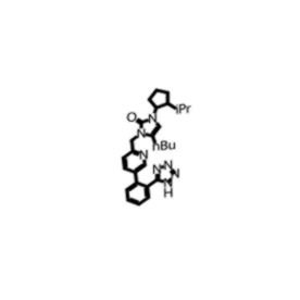 CCCCc1cn(C2CCCC2C(C)C)c(=O)n1Cc1ccc(-c2ccccc2-c2nnn[nH]2)cn1